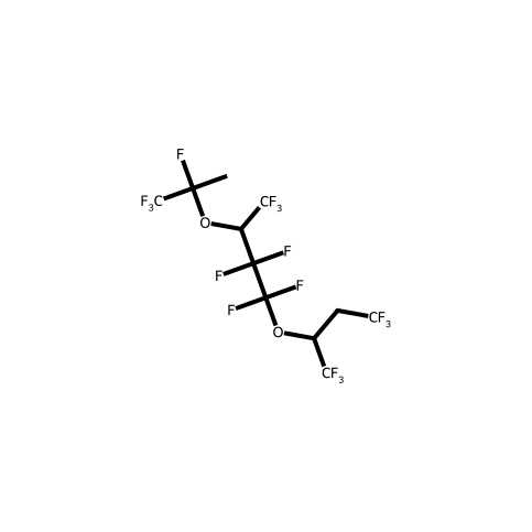 CC(F)(OC(C(F)(F)F)C(F)(F)C(F)(F)OC(CC(F)(F)F)C(F)(F)F)C(F)(F)F